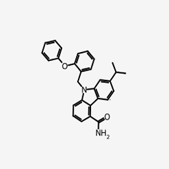 CC(C)c1c[c]c2c3c(C(N)=O)cccc3n(Cc3ccccc3Oc3ccccc3)c2c1